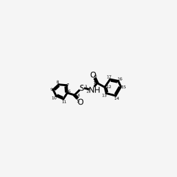 O=C(NSC(=O)c1ccccc1)c1ccccc1